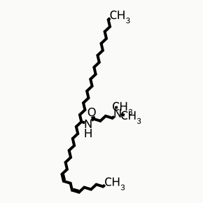 CCCCC/C=C\C/C=C\CCCCCCCCC(CCCCCCCCCCCCCCCCCC)NC(=O)CCCN(C)C